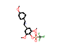 COc1ccc(/C=C/c2cc(OC)c(OS(=O)(=O)C(F)(F)F)c(OC)c2)cc1